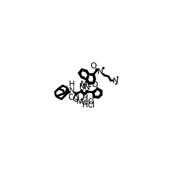 COc1cccc(OC)c1-c1cc(C(=O)NC2(C(=O)O)C3CC4CC(C3)CC2C4)nn1-c1ccc(C(=O)N(C)CCCN(C)C)c2ccccc12.Cl